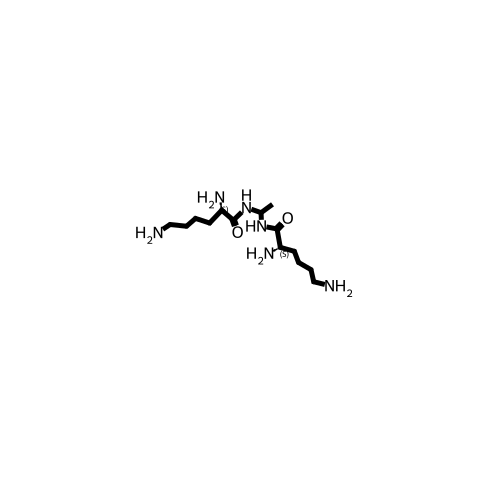 CC(NC(=O)[C@@H](N)CCCCN)NC(=O)[C@@H](N)CCCCN